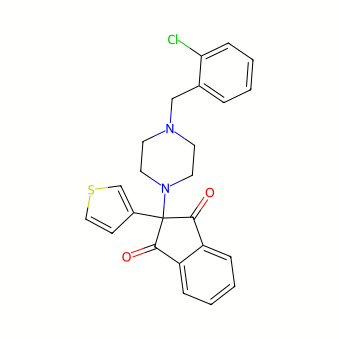 O=C1c2ccccc2C(=O)C1(c1ccsc1)N1CCN(Cc2ccccc2Cl)CC1